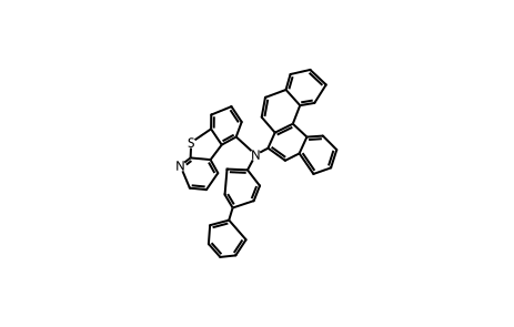 c1ccc(-c2ccc(N(c3cc4ccccc4c4c3ccc3ccccc34)c3cccc4sc5ncccc5c34)cc2)cc1